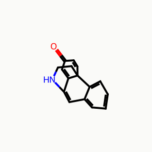 O=C1C=CC23CCNC(=Cc4ccccc42)C3=C1